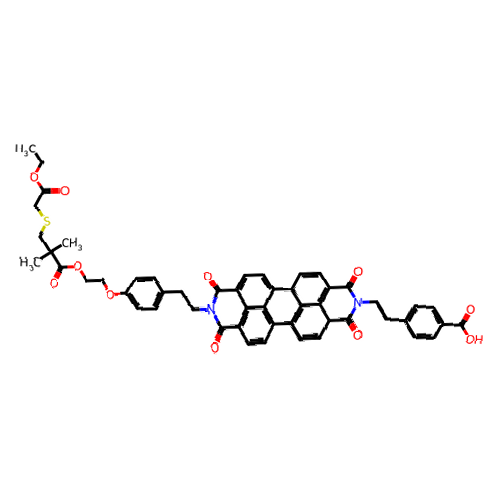 CCOC(=O)CSCC(C)(C)C(=O)OCCOc1ccc(CCN2C(=O)c3ccc4c5c(ccc(c35)C2=O)C2C=CC3=C5C2=C4C=CC5C(=O)N(CCc2ccc(C(=O)O)cc2)C3=O)cc1